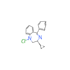 ClN1CC(C2CC2)N=C(c2ccccc2)c2ccccc21